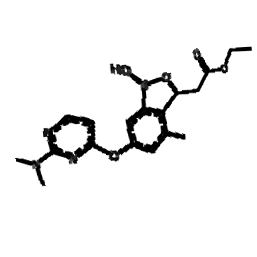 CCOC(=O)CC1OB(O)c2cc(Oc3ccnc(N(C)C)n3)cc(C)c21